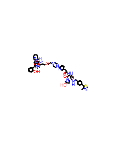 Cc1ncsc1-c1ccc(CNC(=O)[C@@H]2C[C@@H](O)CN2C(=O)[C@@H](NC(=O)Cc2ccc(N3CCN(CCOCCCc4cc(N5C6CCC5CN(c5cc(-c7ccccc7O)nnc5N)C6)ccn4)CC3)nc2)C(C)(C)C)cc1